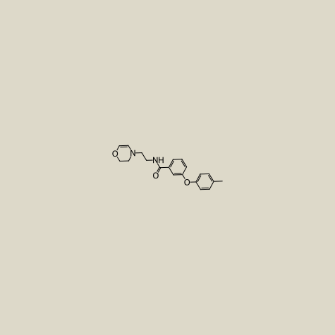 Cc1ccc(Oc2cccc(C(=O)NCCN3C=COCC3)c2)cc1